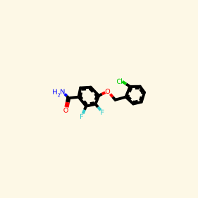 NC(=O)c1ccc(OCc2ccccc2Cl)c(F)c1F